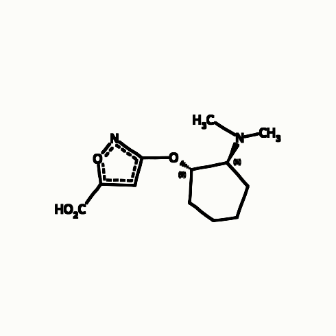 CN(C)[C@H]1CCCC[C@@H]1Oc1cc(C(=O)O)on1